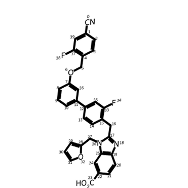 N#Cc1ccc(COc2cccc(-c3ccc(Cc4nc5ccc(C(=O)O)cc5n4Cc4ccco4)c(F)c3)c2)c(F)c1